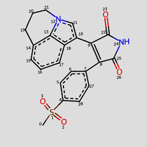 CS(=O)(=O)c1ccc(C2=C(c3cn4c5c(cccc35)CCC4)C(=O)NC2=O)cc1